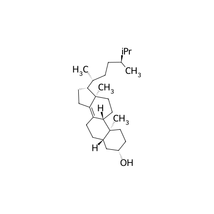 CC(C)[C@@H](C)CC[C@@H](C)[C@H]1CCC2=C3CC[C@H]4C[C@@H](O)CC[C@]4(C)[C@H]3CC[C@@]21C